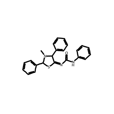 CN1C(c2ccccc2)S/C(=N/C(=O)Nc2ccccc2)C1c1ccccc1